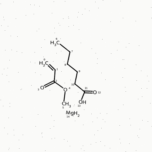 C=CC(=O)OC.CCCCCC(=O)O.[MgH2]